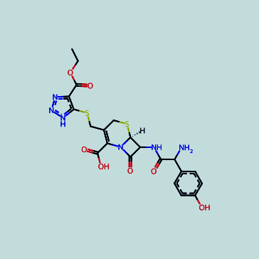 CCOC(=O)c1nn[nH]c1SCC1=C(C(=O)O)N2C(=O)C(NC(=O)C(N)c3ccc(O)cc3)[C@@H]2SC1